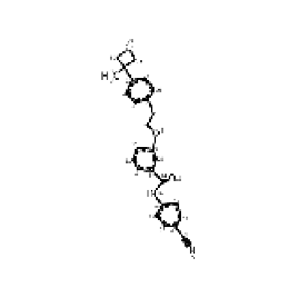 CC1(c2ccc(CCOc3cccc(C(=O)Nc4ccc(C#N)cc4)c3)cc2)COC1